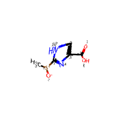 C[S+]([O-])c1nc(C(=O)O)c[nH]1